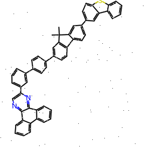 CC1(C)c2cc(-c3ccc(-c4cccc(-c5cnc6c7ccccc7c7ccccc7c6n5)c4)cc3)ccc2-c2ccc(-c3ccc4sc5ccccc5c4c3)cc21